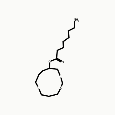 NCCCCCCC(=O)OC1CCCCCCCCCCC1